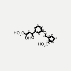 O=C(O)C(O)=CC(=O)c1cccc(OCc2ccsc2C(=O)O)c1